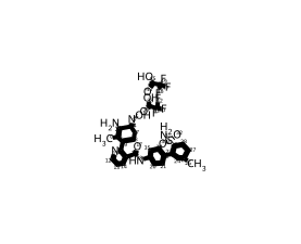 CC1=C(N)C(=NO)CC=C1c1ncccc1C(=O)Nc1ccc(-c2cc(C)ccc2S(N)(=O)=O)cc1.O=C(O)C(F)(F)F.O=C(O)C(F)(F)F